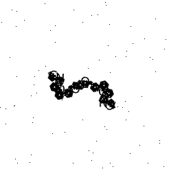 Cc1ccc(-c2nccn2-c2cccc3c2oc2c(-c4cccc(Cc5cc6cc7oc(Cc8cccc(-c9cccc%10c9oc9c(-n%11ccnc%11-c%11ccc(C)o%11)cccc9%10)c8)cc7cc6o5)c4)cccc23)o1